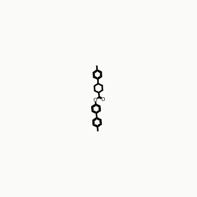 Cc1ccc(-c2ccc(OC(=O)C3CCC(c4ccc(C)cc4)CC3)cc2)cc1